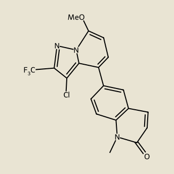 COc1ccc(-c2ccc3c(ccc(=O)n3C)c2)c2c(Cl)c(C(F)(F)F)nn12